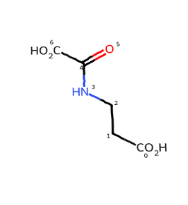 O=C(O)CCNC(=O)C(=O)O